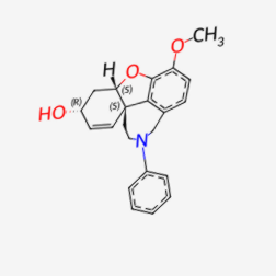 COc1ccc2c3c1O[C@H]1C[C@@H](O)C=C[C@@]31CCN(c1ccccc1)C2